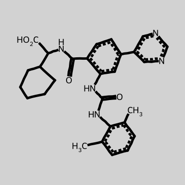 Cc1cccc(C)c1NC(=O)Nc1cc(-c2cncnc2)ccc1C(=O)NC(C(=O)O)C1CCCCC1